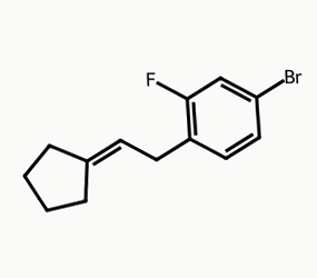 Fc1cc(Br)ccc1CC=C1CCCC1